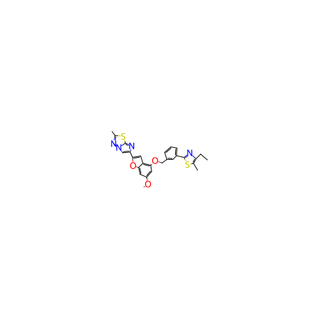 CCc1nc(-c2cccc(COc3cc(OC)cc4oc(-c5cn6nc(C)sc6n5)cc34)c2)sc1C